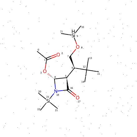 CC(=O)O[C@@H]1[C@@H]([C@@H](CO[SiH](C)C)C(C)(C)C)C(=O)N1[Si](C)(C)C